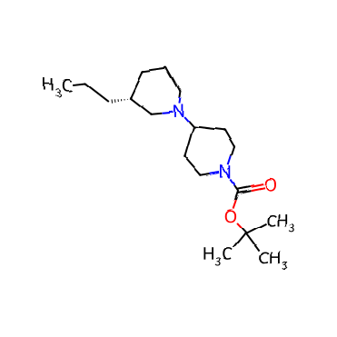 CCC[C@@H]1CCCN(C2CCN(C(=O)OC(C)(C)C)CC2)C1